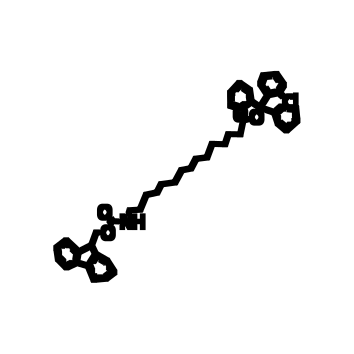 O=C(CCCCCCCCCCCCCCNC(=O)OCC1c2ccccc2-c2ccccc21)OC(c1ccccc1)(c1ccccc1)c1ccccc1Cl